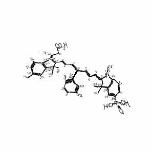 CCN1/C(=C/C=C/C(=C/C=C/C2=[N+](CCC(=O)O)c3ccc(C)cc3C2(C)C)c2ccccc2)C(C)(C)c2cc(P(=O)(O)O)ccc21